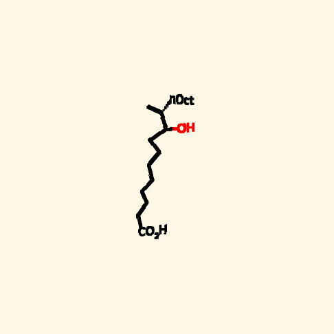 CCCCCCCC[C@@H](C)C(O)CCCCCCCC(=O)O